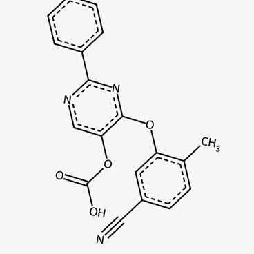 Cc1ccc(C#N)cc1Oc1nc(-c2ccccc2)ncc1OC(=O)O